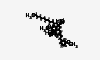 CCCCCCCCCCCCC(C#N)(CCCC(CCc1cccc(OC)c1)/N=N/C)c1ccc(OC)c(OC)c1.Cl